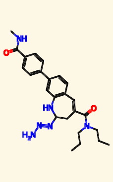 CCCN(CCC)C(=O)C1=Cc2ccc(-c3ccc(C(=O)NC)cc3)cc2NC(N=NN)C1